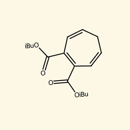 CC(C)COC(=O)C1=C(C(=O)OCC(C)C)C=CCC=C1